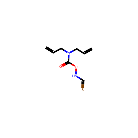 C=CCN(CC=C)C(=O)ON[C]=S